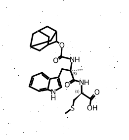 CSC[C@@H](NC(=O)[C@@](C)(Cc1c[nH]c2ccccc12)NC(=O)OC1C2CC3CC(C2)CC1C3)C(=O)O